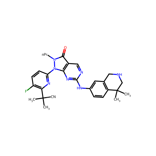 CCCn1c(=O)c2cnc(Nc3ccc4c(c3)CNCC4(C)C)nc2n1-c1ccc(F)c(C(C)(C)C#N)n1